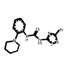 CC(C)c1nsc(NC(=O)Nc2ccccc2N2CCCCC2)n1